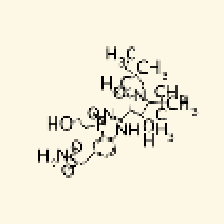 CCC(C)(C)CN1C(=O)C(C2=N[P@](=O)(CCO)c3cc(CS(N)(=O)=O)ccc3N2)=C(O)C1C(C)(C)C